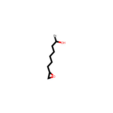 CCC(O)CCCCCC1CO1